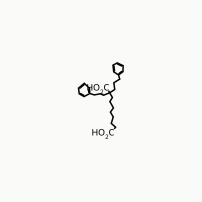 O=C(O)CCCCCCCC(CCCc1ccccc1)(CCCc1ccccc1)C(=O)O